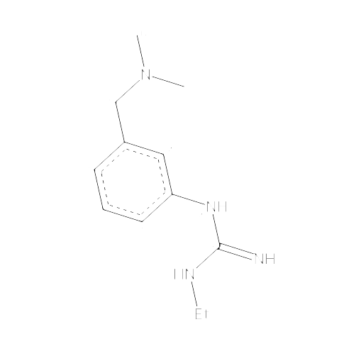 CCNC(=N)Nc1cccc(CN(C)C)c1